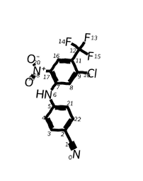 N#Cc1ccc(Nc2cc(Cl)c(C(F)(F)F)cc2[N+](=O)[O-])cc1